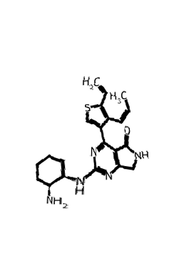 C=Cc1scc(-c2nc(N[C@@H]3CCCC[C@@H]3N)nc3c2C(=O)NC3)c1/C=C\C